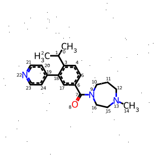 CC(C)c1ccc(C(=O)N2CCCN(C)CC2)cc1-c1ccncc1